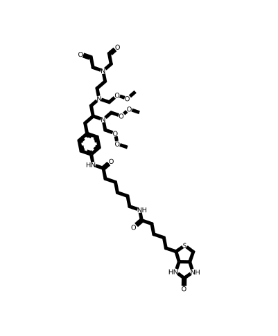 COOCN(CCN(CC=O)CC=O)CC(Cc1ccc(NC(=O)CCCCCNC(=O)CCCCC2SCC3NC(=O)NC32)cc1)N(COOC)COOC